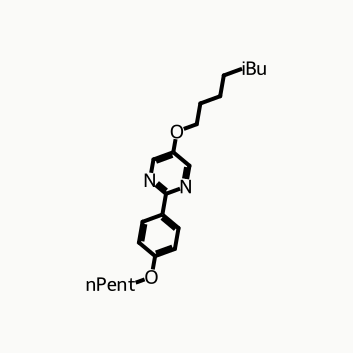 CCCCCOc1ccc(-c2ncc(OCCCCC(C)CC)cn2)cc1